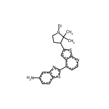 CCN1CCC(c2cc3c(-c4nc5cc(N)ccc5s4)ccnc3s2)C1(C)C